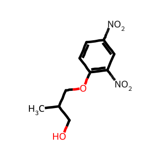 CC(CO)COc1ccc([N+](=O)[O-])cc1[N+](=O)[O-]